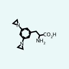 NC(Cc1cc(N2CC2)cc(N2CC2)c1)C(=O)O